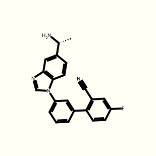 C[C@@H](N)c1ccc2c(c1)ncn2-c1cccc(-c2ccc(F)cc2C#N)c1